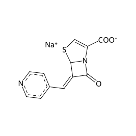 O=C([O-])C1=CSC2C(=Cc3ccncc3)C(=O)N12.[Na+]